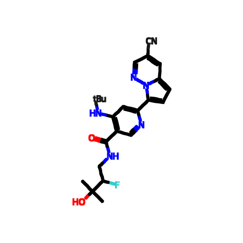 CC(C)(C)Nc1cc(-c2ccc3cc(C#N)cnn23)ncc1C(=O)NCC(F)C(C)(C)O